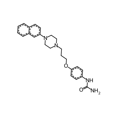 NC(=O)Nc1ccc(OCCCN2CCN(c3ccc4ccccc4c3)CC2)cc1